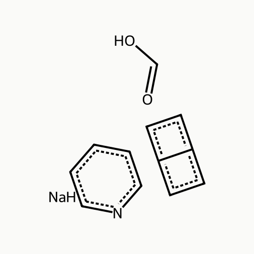 O=CO.[NaH].c1cc2ccc1-2.c1ccncc1